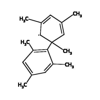 CC1=CC(C)=CC(C)(c2c(C)cc(C)cc2C)[CH]1